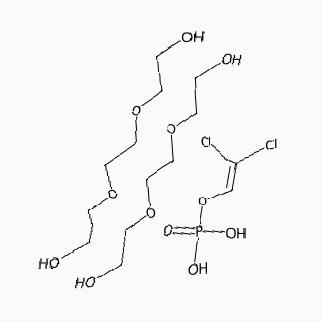 O=P(O)(O)OC=C(Cl)Cl.OCCOCCOCCO.OCCOCCOCCO